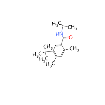 Cc1cc(C)c(C(C)(C)C)cc1C(=O)NC(C)C